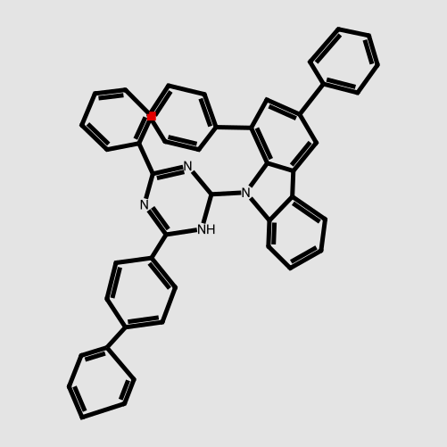 c1ccc(C2=NC(n3c4ccccc4c4cc(-c5ccccc5)cc(-c5ccccc5)c43)NC(c3ccc(-c4ccccc4)cc3)=N2)cc1